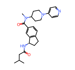 CC(C)CC(=O)N[C@@H]1CCc2ccc(C(=O)N(C)C3CCN(c4ccncc4)CC3)cc21